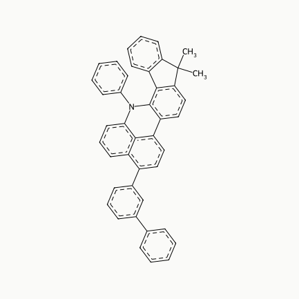 CC1(C)c2ccccc2-c2c1ccc1c2N(c2ccccc2)c2cccc3c(-c4cccc(-c5ccccc5)c4)ccc-1c23